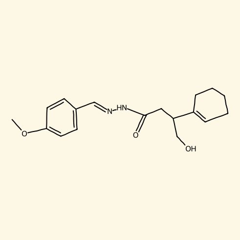 COc1ccc(C=NNC(=O)CC(CO)C2=CCCCC2)cc1